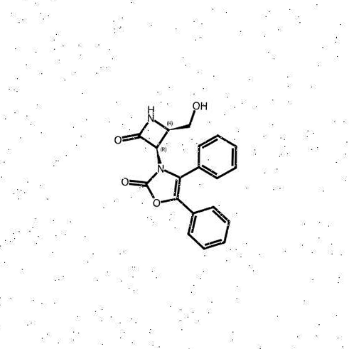 O=C1N[C@@H](CO)[C@H]1n1c(-c2ccccc2)c(-c2ccccc2)oc1=O